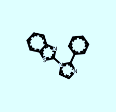 c1ccc(-c2nccn2-c2nc3ccccc3s2)cc1